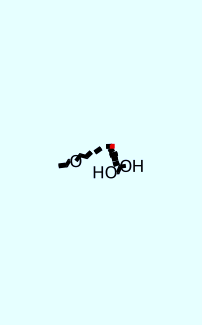 C=C.C=C.C=C.C=C.C=C.C=C.C=CCOCC=C.OCCO